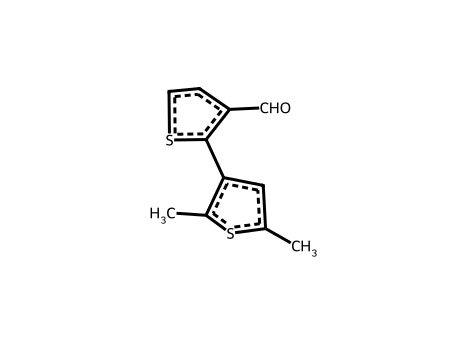 Cc1cc(-c2sccc2C=O)c(C)s1